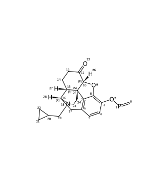 C=POc1ccc2c3c1O[C@H]1C(=O)CC[C@H]4[C@@H](C2)N(CC2CC2)CC[C@]314